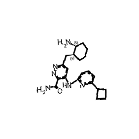 NC(=O)c1nnc(C[C@@H]2CCCC[C@@H]2N)cc1Nc1cccc(C2CCC2)n1